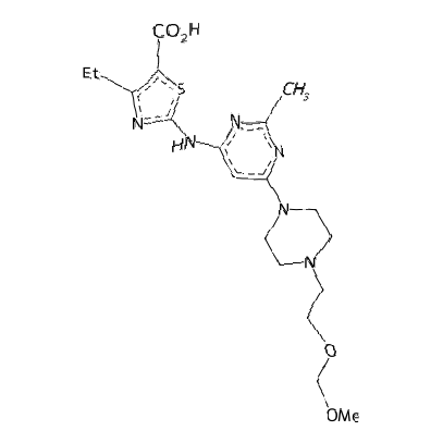 CCc1nc(Nc2cc(N3CCN(CCOCOC)CC3)nc(C)n2)sc1C(=O)O